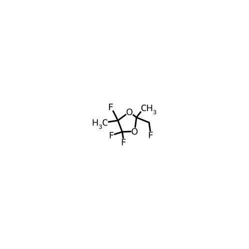 CC1(CF)OC(C)(F)C(F)(F)O1